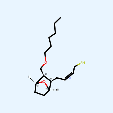 CCCCCCOC[C@H]1[C@@H](C/C=C\CS)[C@H]2CC[C@@H]1O2